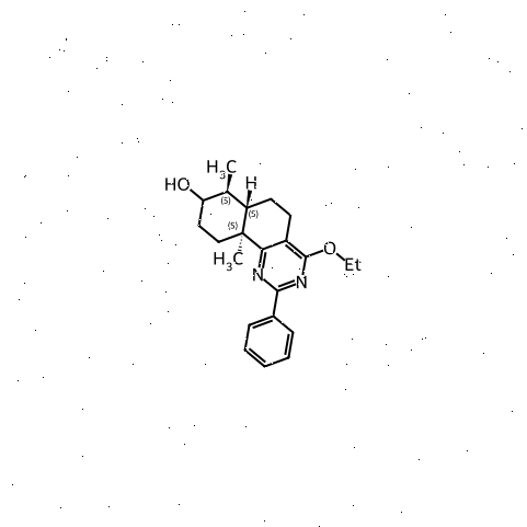 CCOc1nc(-c2ccccc2)nc2c1CC[C@H]1[C@H](C)C(O)CC[C@]21C